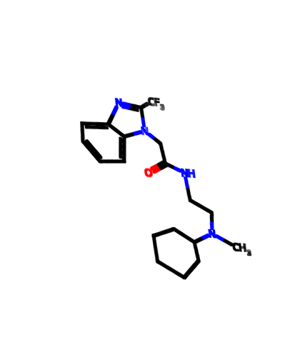 CN(CCNC(=O)Cn1c(C(F)(F)F)nc2ccccc21)C1CCCCC1